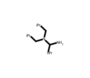 CCCC(N)N(CC(C)C)CC(C)C